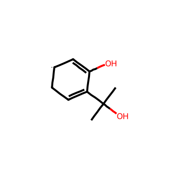 CC(C)(O)C1=CC[CH]C=C1O